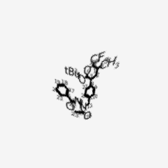 CC(CC(C(=O)OC(C)(C)C)c1ccc(CN2N=C(c3ccccc3)OCC2=O)cc1)CC(F)(F)F